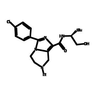 CCN1CCn2c(-c3ccc(Cl)cc3)nc(C(=O)N[C@H](CO)C(C)(C)C)c2C1